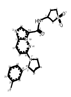 O=C(NC1CCS(=O)(=O)C1)c1cnc2ccc(N3CCC[C@@H]3c3cccc(F)c3)nn12